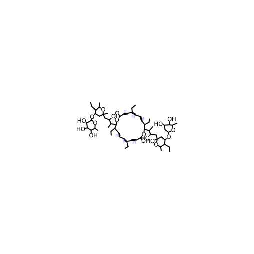 CCC1=C\C=C\C(CC)C(C(C)C(O)CC2(O)CC(OC3CC(O)C(O)C(C)O3)C(CC)C(C)O2)OC(=O)/C=C/C(CC)=C/C=C/C(CC)C(C(C)C(O)CC2(C)CC(OC3OC(C)C(O)C(O)C3O)C(CC)C(C)O2)OC(=O)\C=C\1